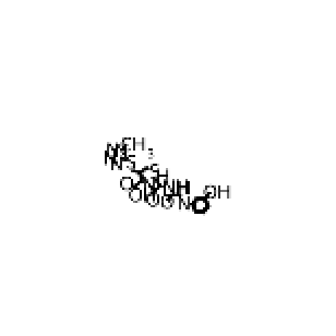 Cn1nnnc1SCC1=C(C(=O)O)N2C(=O)[C@@H](NC(=O)CNc3cccc(O)c3)[C@@H]2SC1